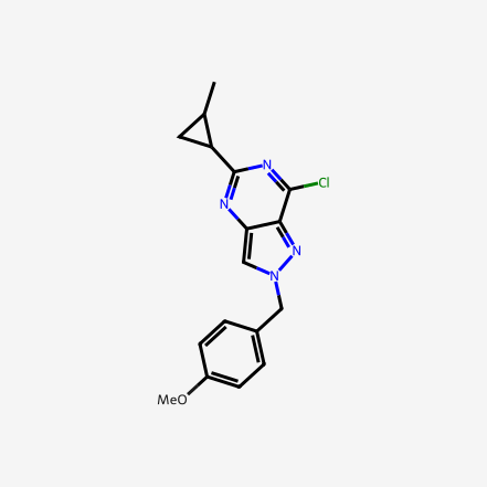 COc1ccc(Cn2cc3nc(C4CC4C)nc(Cl)c3n2)cc1